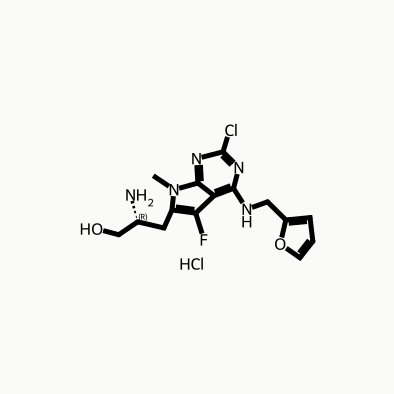 Cl.Cn1c(C[C@@H](N)CO)c(F)c2c(NCc3ccco3)nc(Cl)nc21